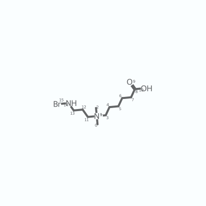 C[N+](C)(CCCCCC(=O)O)CCCNBr